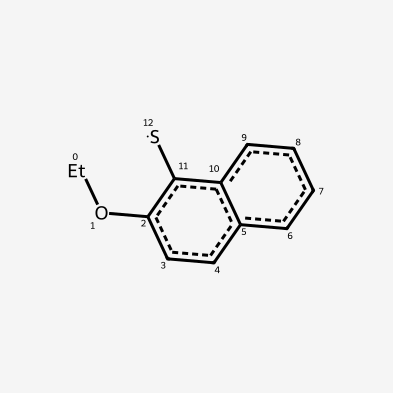 CCOc1ccc2ccccc2c1[S]